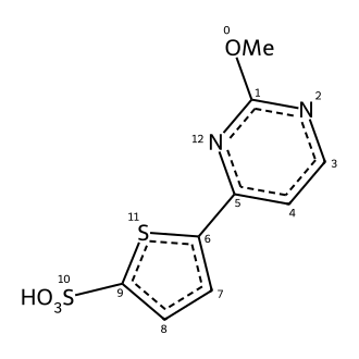 COc1nccc(-c2ccc(S(=O)(=O)O)s2)n1